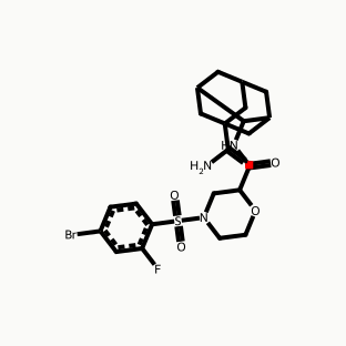 NC(=O)C12CC3CC(C1)C(NC(=O)C1CN(S(=O)(=O)c4ccc(Br)cc4F)CCO1)C(C3)C2